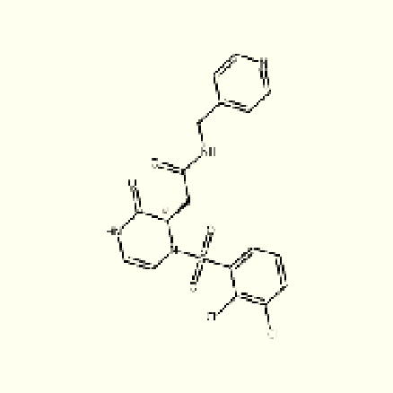 O=C(C[C@@H]1C(=O)NC=CN1S(=O)(=O)c1cccc(Cl)c1Cl)NCc1ccncc1